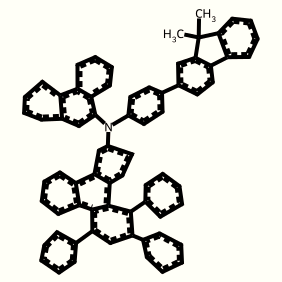 CC1(C)c2ccccc2-c2ccc(-c3ccc(N(c4ccc5c(c4)c4ccccc4c4c(-c6ccccc6)cc(-c6ccccc6)c(-c6ccccc6)c54)c4cc5ccccc5c5ccccc45)cc3)cc21